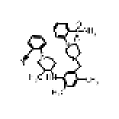 Cc1cc(C)c(N[C@@H]2CCN(c3ccccc3C#N)C[C@@H]2C)cc1CN1CCN(c2ccccc2S(N)(=O)=O)CC1